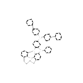 c1ccc(-c2ccc(N(c3ccc(-c4ccccc4)cc3)c3ccc4c(c3)N(c3ccccc3)c3ccc5c6c3N4c3cccc4c3N6C(CC4)C5)cc2)cc1